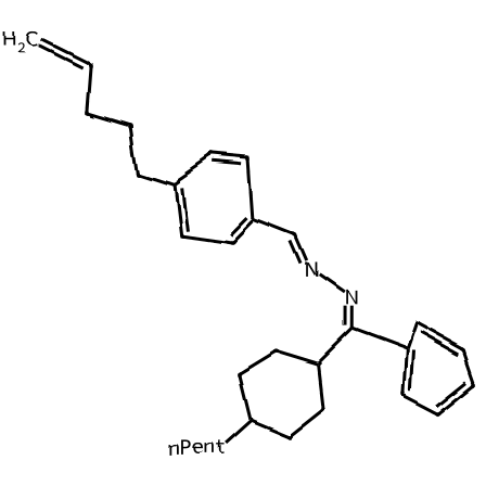 C=CCCCc1ccc(C=NN=C(c2ccccc2)C2CCC(CCCCC)CC2)cc1